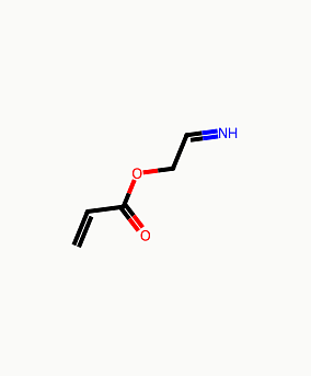 C=CC(=O)OCC=N